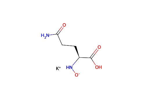 NC(=O)CC[C@H](N[O-])C(=O)O.[K+]